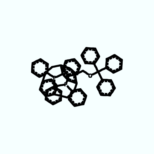 c1ccc(P(c2ccccc2)c2cc3c(COC(c4ccccc4)(c4ccccc4)c4ccccc4)cc2CCc2ccc(c(P(c4ccccc4)c4ccccc4)c2)CC3)cc1